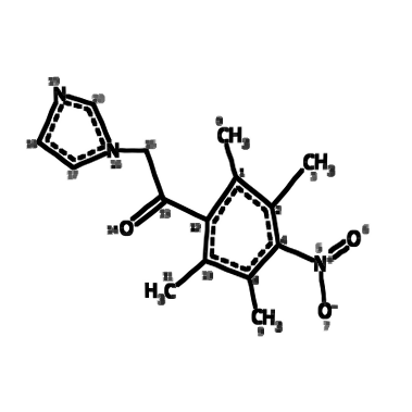 Cc1c(C)c([N+](=O)[O-])c(C)c(C)c1C(=O)Cn1ccnc1